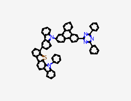 c1ccc(-c2nc(-c3ccccc3)nc(-c3ccc4c5ccc(-n6c7ccccc7c7cc(-c8cccc9c8sc8c9ccc9c%10ccccc%10n(-c%10ccccc%10)c98)ccc76)cc5c5ccccc5c4c3)n2)cc1